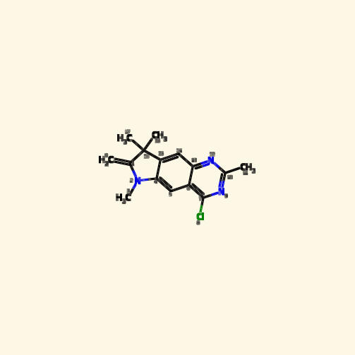 C=C1N(C)c2cc3c(Cl)nc(C)nc3cc2C1(C)C